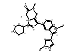 C[C@@H]1C(=O)N(C)Cc2c(-c3ccc4c(c3)c(-c3cnn(C)c3)nn4C)nc(C3CCOCC3)n21